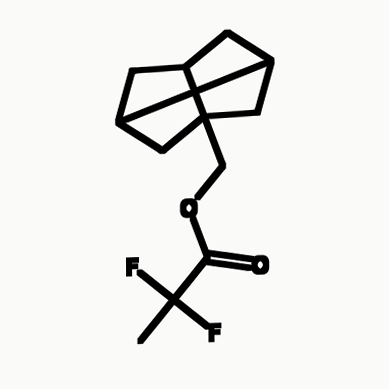 CC(F)(F)C(=O)OCC12CC3CC1CC3C2